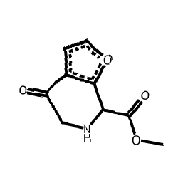 COC(=O)C1NCC(=O)c2ccoc21